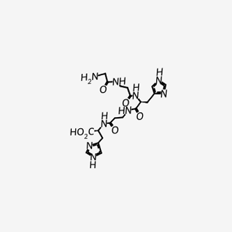 NCC(=O)NCCC(=O)N[C@@H](Cc1c[nH]cn1)C(=O)NCCC(=O)N[C@@H](Cc1c[nH]cn1)C(=O)O